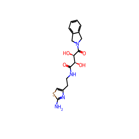 Nc1nc(CCNC(=O)[C@H](O)[C@@H](O)C(=O)N2Cc3ccccc3C2)cs1